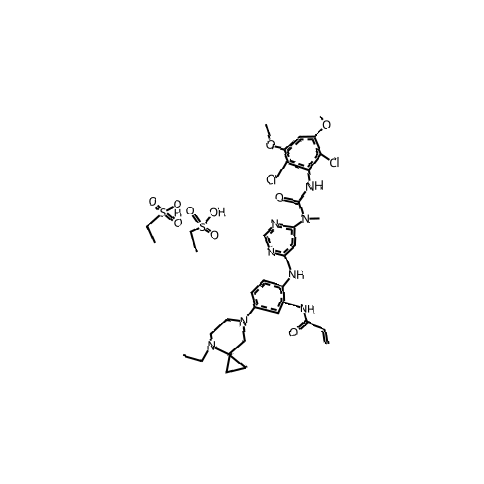 C=CC(=O)Nc1cc(N2CCN(CC)C3(CC3)C2)ccc1Nc1cc(N(C)C(=O)Nc2c(Cl)c(OC)cc(OC)c2Cl)ncn1.CCS(=O)(=O)O.CCS(=O)(=O)O